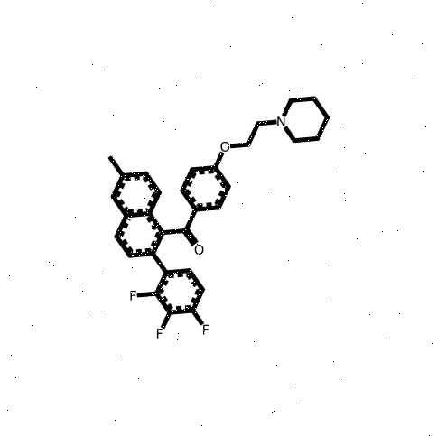 Cc1ccc2c(C(=O)c3ccc(OCCN4CCCCC4)cc3)c(-c3ccc(F)c(F)c3F)ccc2c1